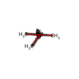 CCCCCCCCCCCCCCCCCC(=O)OOB(OOC(=O)CCCCCCCCCCCCCCCCC)OOC(=O)CCCCCCCCCCCCCCCCC.[Zr].[Zr].[Zr]